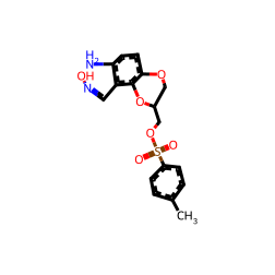 Cc1ccc(S(=O)(=O)OCC2COc3ccc(N)c(/C=N\O)c3O2)cc1